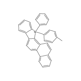 Cc1ccc([Si]2(c3ccccc3)c3ccccc3-c3ccc4c(ccc5ccccc54)c32)cc1